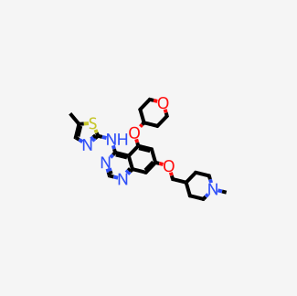 Cc1cnc(Nc2ncnc3cc(OCC4CCN(C)CC4)cc(OC4CCOCC4)c23)s1